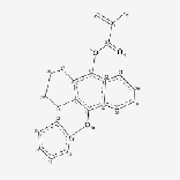 C=C(C)C(=O)Oc1c2c(c(Oc3ccccc3)c3ccccc13)CCCC2